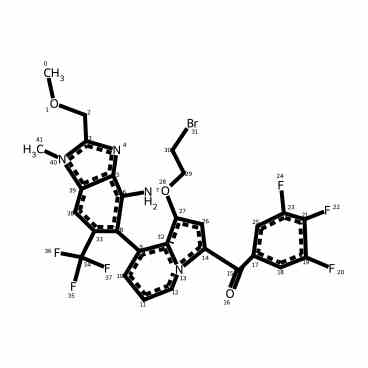 COCc1nc2c(N)c(-c3cccn4c(C(=O)c5cc(F)c(F)c(F)c5)cc(OCCBr)c34)c(C(F)(F)F)cc2n1C